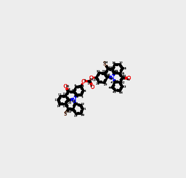 O=C(Oc1ccc2c(c1)c(=O)c1cccc3c(=S)c4ccccc4n2c13)Oc1ccc2c(c1)c(=S)c1cccc3c(=O)c4ccccc4n2c31